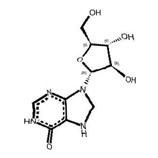 O=c1[nH]cnc2c1NCN2[C@@H]1O[C@@H](CO)[C@H](O)[C@H]1O